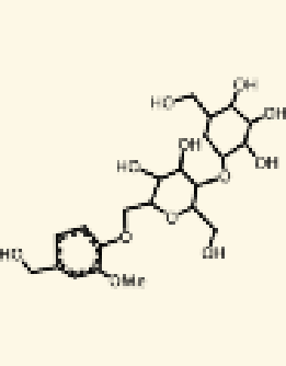 COc1cc(CO)ccc1OCC1OC(CO)C(OC2CC(CO)C(O)C(O)C2O)C(O)C1O